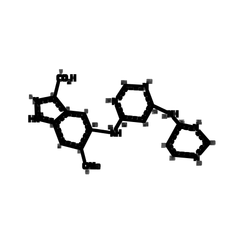 COc1cc2[nH]nc(C(=O)O)c2cc1Nc1cc(Nc2ccncn2)ncn1